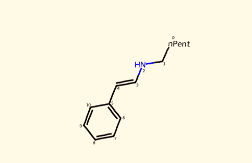 CCCCCCNC=Cc1ccccc1